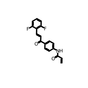 C=CC(=O)Nc1ccc(C(=O)/C=C/c2c(F)cccc2F)cc1